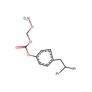 CC(C)C(Cc1ccc(OC(=O)OCO[N+](=O)[O-])cc1)C(C)C